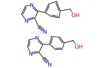 N#Cc1nccnc1-c1ccc(CO)cc1.N#Cc1nccnc1-c1ccc(CO)cc1